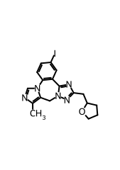 Cc1ncn2c1Cn1nc(CC3CCCO3)nc1-c1cc(I)ccc1-2